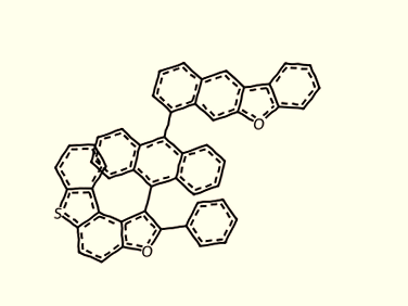 c1ccc(-c2oc3ccc4sc5ccccc5c4c3c2-c2c3ccccc3c(-c3cccc4cc5c(cc34)oc3ccccc35)c3ccccc23)cc1